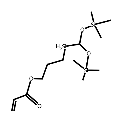 C=CC(=O)OCCC[SiH2]C(O[Si](C)(C)C)O[Si](C)(C)C